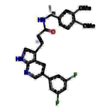 COc1ccc([C@@H](C)NC(=O)/C=C/c2c[nH]c3ncc(-c4cc(F)cc(F)c4)cc23)cc1OC